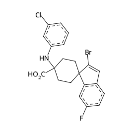 O=C(O)C1(Nc2cccc(Cl)c2)CCC2(CC1)C(Br)=Cc1ccc(F)cc12